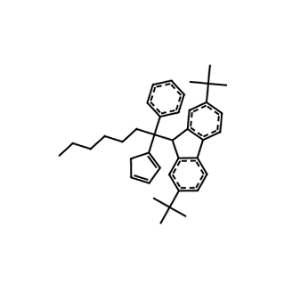 CCCCCCC(C1=CC=CC1)(c1ccccc1)C1c2cc(C(C)(C)C)ccc2-c2ccc(C(C)(C)C)cc21